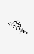 NS(=O)(=O)c1ccc(O[C@H]2c3c(Cl)cccc3CC2C2CCCC2)cc1